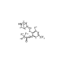 Fc1cc(C(F)(F)F)ccc1COC1C2CNCC1C2.O=C(O)C(F)(F)F